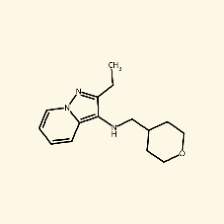 CCc1nn2ccccc2c1NCC1CCOCC1